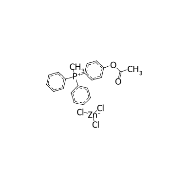 CC(=O)Oc1ccc([P+](C)(c2ccccc2)c2ccccc2)cc1.[Cl][Zn-]([Cl])[Cl]